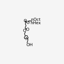 CCCCCCCCC(CCCCCC)COC(=O)CCCC(=O)OCCC1CCN(CCO)CC1